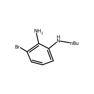 CCCCNc1cccc(Br)c1N